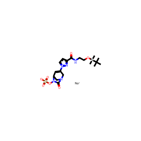 CC(C)(C)[Si](C)(C)OCCNC(=O)c1ccn(C2=CC3CN(C2)C(=O)N3OS(=O)(=O)[O-])n1.[Na+]